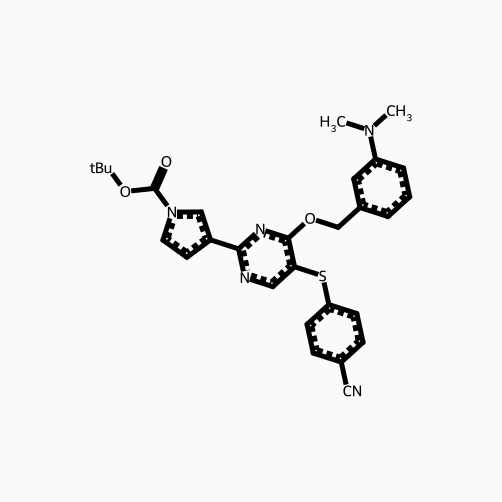 CN(C)c1cccc(COc2nc(-c3ccn(C(=O)OC(C)(C)C)c3)ncc2Sc2ccc(C#N)cc2)c1